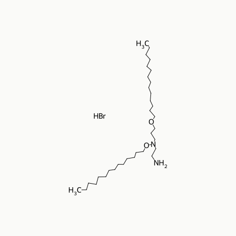 Br.CCCCCCCCCCCCCCOCCCN(CCN)OCCCCCCCCCCCCCC